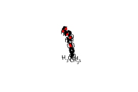 CC(C)(C)OC(=O)N1CCC(S(=O)(=O)N2C[C@@H]3CN(c4cccc5c4cnn5-c4ccccc4F)C(=O)[C@@H]3C2)CC1